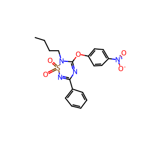 CCCCN1C(Oc2ccc([N+](=O)[O-])cc2)=NC(c2ccccc2)=NS1(=O)=O